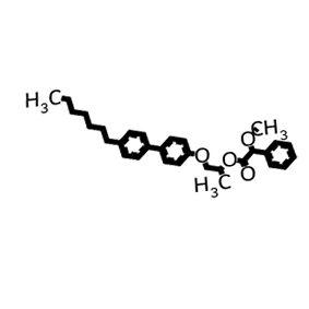 CCCCCCCc1ccc(-c2ccc(OCC(C)OC(=O)C(OC)c3ccccc3)cc2)cc1